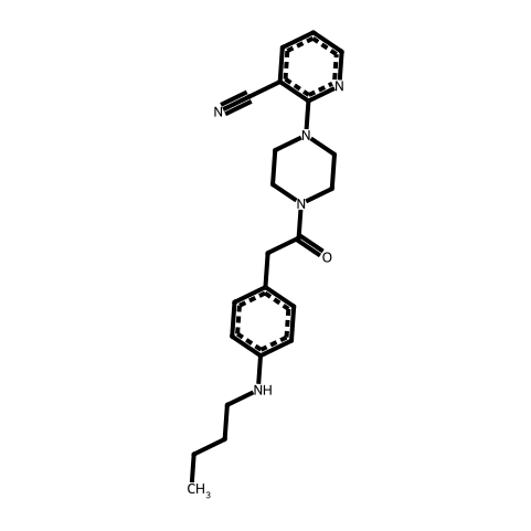 CCCCNc1ccc(CC(=O)N2CCN(c3ncccc3C#N)CC2)cc1